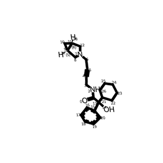 O=C(NCC#CCN1C[C@H]2C[C@H]2C1)C(O)(c1ccccc1)C1CCCCC1